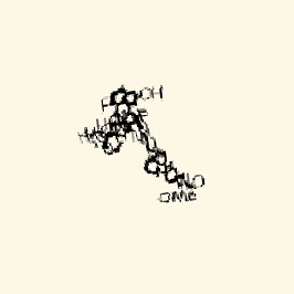 C#Cc1c(F)ccc2cc(O)cc(-c3nc(OC)c4c(N5CCOC[C@@](C)(O)C5)nc(OC[C@]56CCC[C@H]5N(C5CCC7(CC5)CN(C(=O)OC)C7)CCC6)nc4c3F)c12